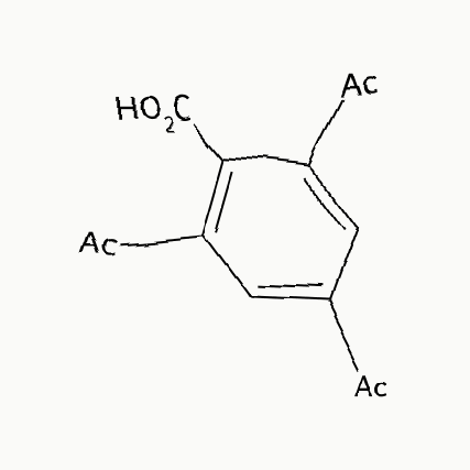 CC(=O)c1cc(C(C)=O)c(C(=O)O)c(C(C)=O)c1